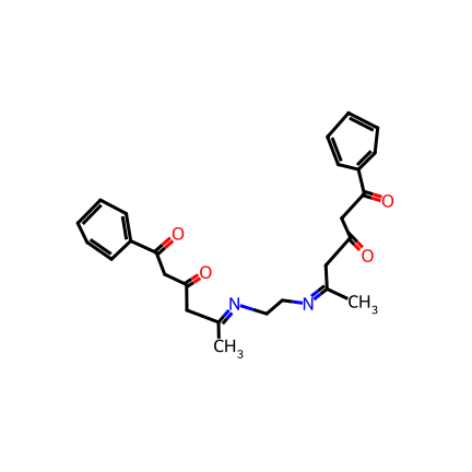 C/C(CC(=O)CC(=O)c1ccccc1)=N/CC/N=C(\C)CC(=O)CC(=O)c1ccccc1